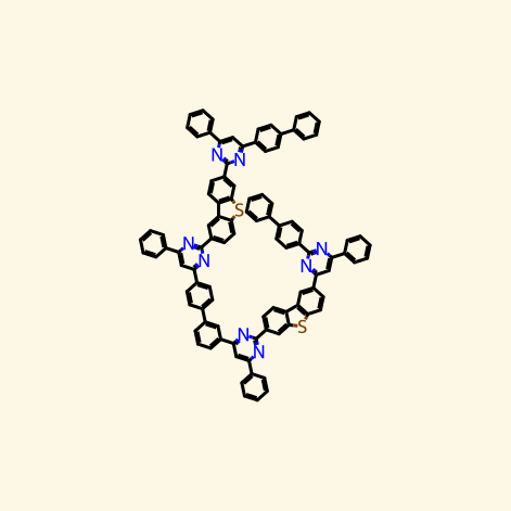 c1ccc(-c2ccc(-c3cc(-c4ccccc4)nc(-c4ccc5c(c4)sc4ccc(-c6nc(-c7ccccc7)cc(-c7ccc(-c8cccc(-c9cc(-c%10ccccc%10)nc(-c%10ccc%11c(c%10)sc%10ccc(-c%12cc(-c%13ccccc%13)nc(-c%13ccc(-c%14ccccc%14)cc%13)n%12)cc%10%11)n9)c8)cc7)n6)cc45)n3)cc2)cc1